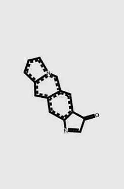 O=C1C=Nc2cc3cc4cccn4cc3cc21